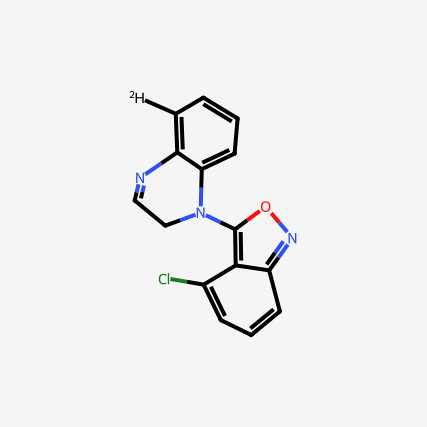 [2H]c1cccc2c1N=CCN2c1onc2cccc(Cl)c12